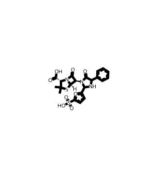 CC1(C)S[C@@H]2[C@H](N3C(=O)C(c4ccccc4)NC3c3ccc(S(=O)(=O)O)o3)C(=O)N2[C@H]1C(=O)O